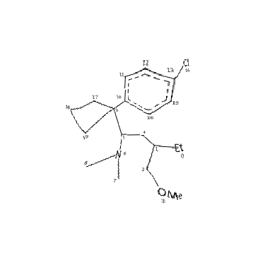 CCC(COC)CC(N(C)C)C1(c2ccc(Cl)cc2)CCC1